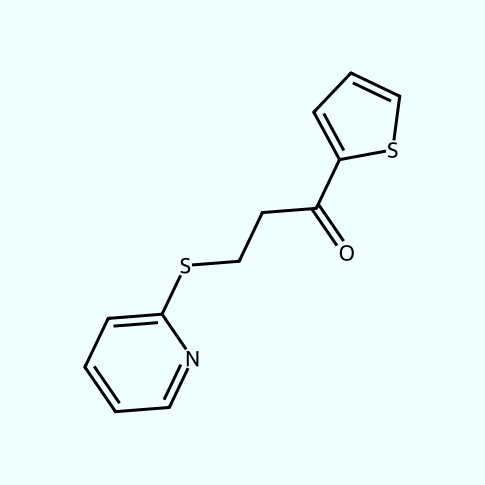 O=C(CCSc1ccccn1)c1cccs1